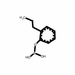 CCCc1ccccc1OB(O)O